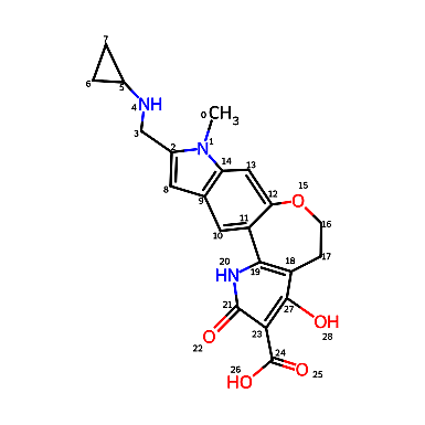 Cn1c(CNC2CC2)cc2cc3c(cc21)OCCc1c-3[nH]c(=O)c(C(=O)O)c1O